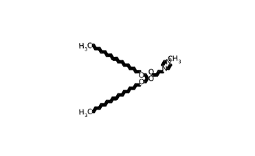 CCCCCCCCC=CCCCCCCCCOCC(COCCCCCCCCC=CCCCCCCCC)OC(=O)CCCN1CCN(C)CC1